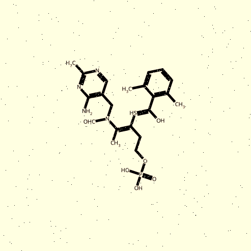 C/C(=C(CCOP(=O)(O)O)/[SH]=C(\O)c1c(C)cccc1C)N(C=O)Cc1cnc(C)nc1N